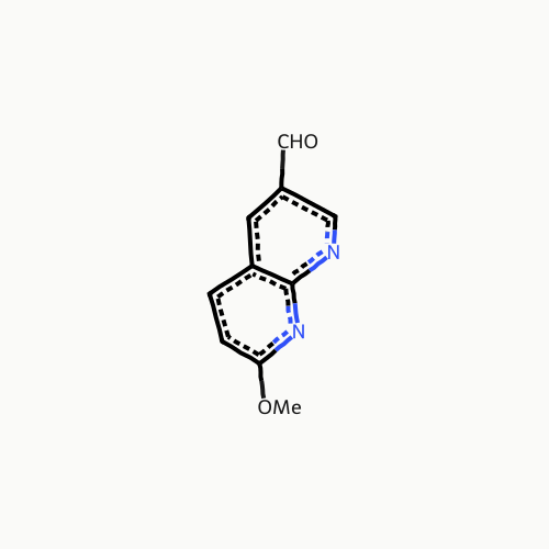 COc1ccc2cc(C=O)cnc2n1